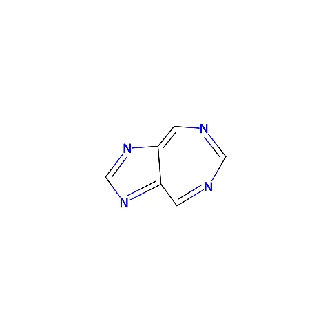 c1ncc2ncnc-2cn1